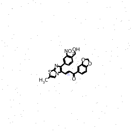 Cc1cn2c(/C=C/C(=O)c3ccc4c(c3)OCO4)c(-c3ccc(CO)c([N+](=O)[O-])c3)nc2s1